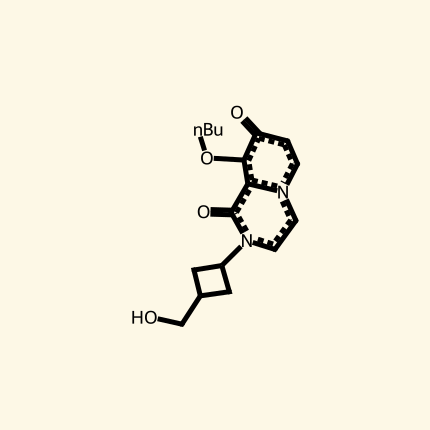 CCCCOc1c(=O)ccn2ccn(C3CC(CO)C3)c(=O)c12